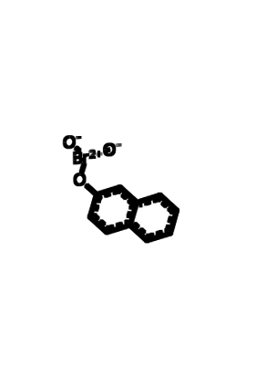 [O-][Br+2]([O-])Oc1ccc2ccccc2c1